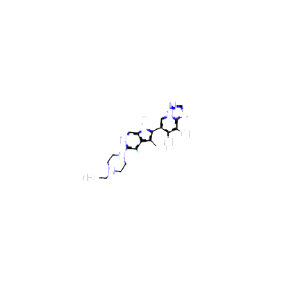 Cc1c(-c2[nH]c3cnc(N4CCN(CC(C)(C)C)CC4)c(F)c3c2C(C)C)cn2ncnc2c1C